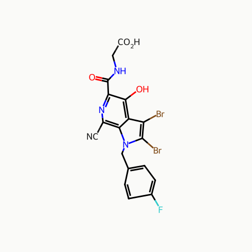 N#Cc1nc(C(=O)NCC(=O)O)c(O)c2c(Br)c(Br)n(Cc3ccc(F)cc3)c12